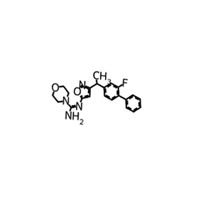 CC(c1ccc(-c2ccccc2)c(F)c1)c1cc(N=C(N)N2CCOCC2)on1